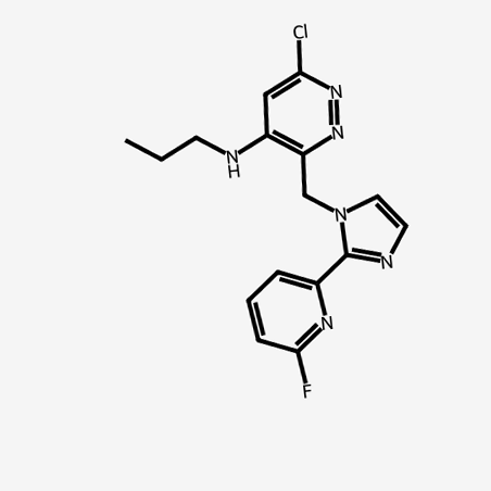 CCCNc1cc(Cl)nnc1Cn1ccnc1-c1cccc(F)n1